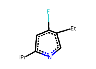 CCc1cnc(C(C)C)cc1F